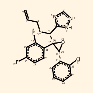 C=CCSC(c1ncn[nH]1)[C@]1(c2ccc(F)cc2F)O[C@@H]1c1ccccc1Cl